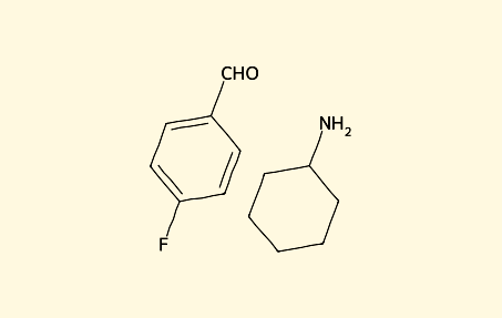 NC1CCCCC1.O=Cc1ccc(F)cc1